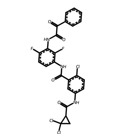 O=C(Nc1c(F)ccc(NC(=O)c2cc(NC(=O)C3CC3(Cl)Cl)ccc2Cl)c1F)C(=O)c1ccccc1